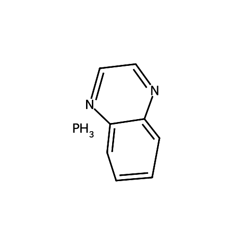 P.c1ccc2nccnc2c1